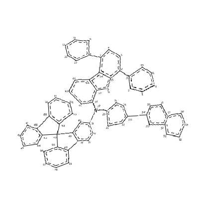 c1ccc(-c2ccc(-c3ccccc3)c3c2sc2c(N(c4ccc(-c5ccc6ccccc6c5)cc4)c4ccc5c(c4)C4(c6ccccc6-c6ccccc64)c4ccccc4-5)cccc23)cc1